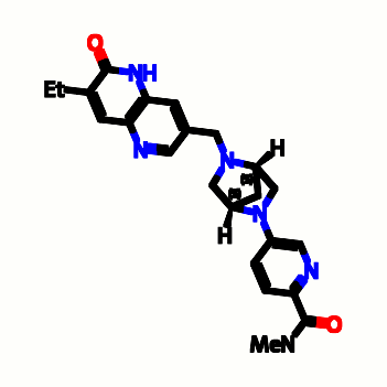 CCc1cc2ncc(CN3C[C@@H]4C[C@H]3CN4c3ccc(C(=O)NC)nc3)cc2[nH]c1=O